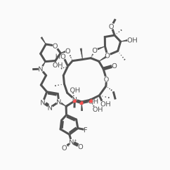 CC[C@H]1OC(=O)[C@H](C)[C@@H](O[C@H]2C[C@@](C)(OC)[C@@H](O)[C@H](C)O2)[C@H](C)[C@@H](O[C@@H]2O[C@H](C)C[C@H](N(C)CCc3cn([C@H](c4ccc([N+](=O)[O-])c(F)c4)[C@H](O)CO)nn3)[C@H]2O)[C@](C)(O)C[C@@H](C)CN(C)[C@H](C)[C@@H](O)[C@]1(C)O